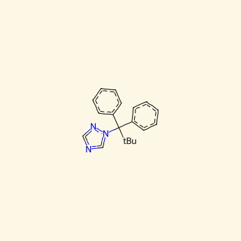 CC(C)(C)C(c1ccccc1)(c1ccccc1)n1cncn1